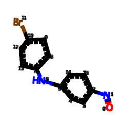 O=Nc1ccc(Nc2ccc(Br)cc2)cc1